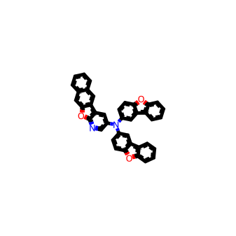 c1ccc2cc3c(cc2c1)oc1ncc(N(c2ccc4oc5ccccc5c4c2)c2ccc4oc5ccccc5c4c2)cc13